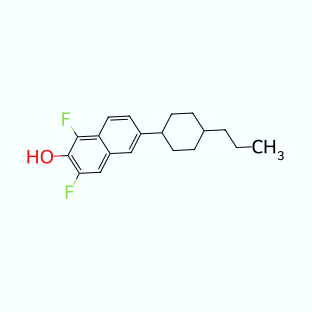 CCCC1CCC(c2ccc3c(F)c(O)c(F)cc3c2)CC1